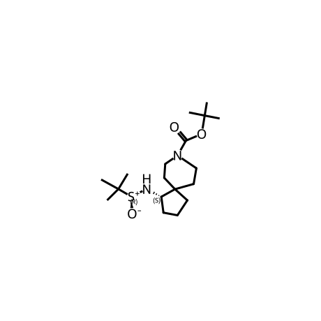 CC(C)(C)OC(=O)N1CCC2(CCC[C@@H]2N[S@@+]([O-])C(C)(C)C)CC1